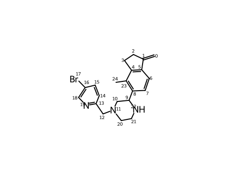 C=C1CCc2c1ccc(C1CN(Cc3ccc(Br)cn3)CCN1)c2C